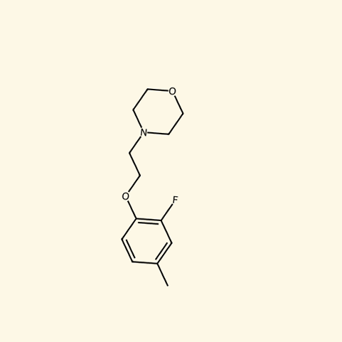 Cc1ccc(OCCN2CCOCC2)c(F)c1